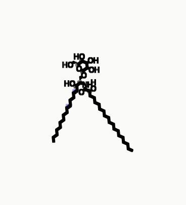 CCCCCCCCC/C=C/CC/C=C/[C@@H](O)[C@H](CO[C@@H]1O[C@H](CO)[C@@H](O)C(O)C1O)NC(=O)[C@H](O)CCCCCCCCCCCCCCCCCC